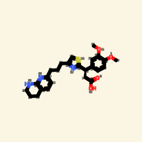 COc1ccc([C@@H](CC(=O)O)c2nc(CCCc3ccc4c(n3)NCCC4)cs2)cc1OC